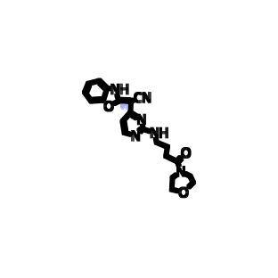 N#C/C(=C1\Nc2ccccc2O1)c1ccnc(NCCCC(=O)N2CCOCC2)n1